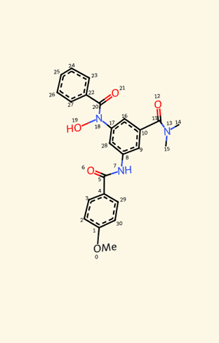 COc1ccc(C(=O)Nc2cc(C(=O)N(C)C)cc(N(O)C(=O)c3ccccc3)c2)cc1